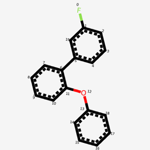 Fc1cccc(-c2cc[c]cc2Oc2ccccc2)c1